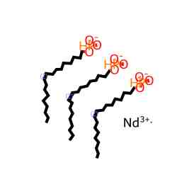 CCCCCCCC/C=C\CCCCCCCCO[PH](=O)[O-].CCCCCCCC/C=C\CCCCCCCCO[PH](=O)[O-].CCCCCCCC/C=C\CCCCCCCCO[PH](=O)[O-].[Nd+3]